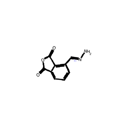 N/N=C/c1cccc2c1C(=O)OC2=O